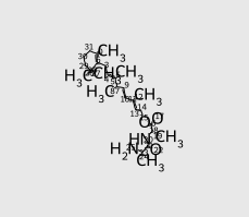 CC1=C(C/C=C(\C)C(C)/C=C/C(C)=C/COC(=O)[C@H](C)NC(=O)[C@H](C)N)C(C)(C)CCC1